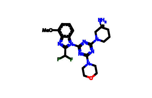 COc1cccc2c1nc(C(F)F)n2-c1nc(N2CCOCC2)nc(N2CCC[C@@H](N)C2)n1